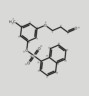 Cc1cc(OCCC=O)cc(OS(=O)(=O)c2cccc3ccccc23)c1